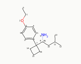 CCOc1ccc(C2([C@H](N)CC(C)C)CCC2)cc1